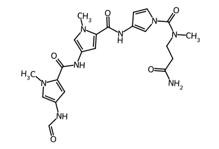 CN(CCC(N)=O)C(=O)n1ccc(NC(=O)c2cc(NC(=O)c3cc(NC=O)cn3C)cn2C)c1